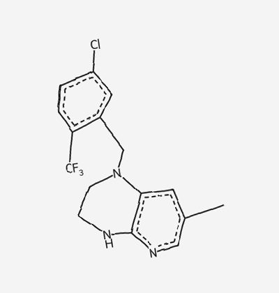 Cc1cnc2c(c1)N(Cc1cc(Cl)ccc1C(F)(F)F)CCN2